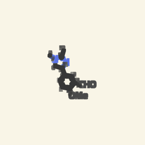 COc1ccc(C2CN(C)C(C)=N2)cc1C=O